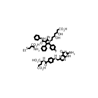 CC(C)c1c(C(=O)Nc2ccccc2)c(-c2ccccc2)c(-c2ccc(F)cc2)n1CC[C@@H](O)C[C@@H](O)CC(=O)O.CCSCC[C@H](N)C(=O)O.Nc1nc(=O)c2nc(CNc3ccc(C(=O)N[C@@H](CCC(=O)O)C(=O)O)cc3)cnc2[nH]1